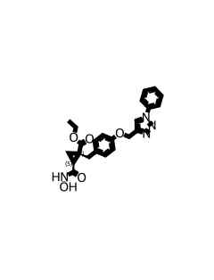 CCOC(=O)[C@@]1(Cc2ccc(OCc3cn(-c4ccccc4)nn3)cc2)C[C@@H]1C(=O)NO